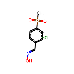 CS(=O)(=O)c1ccc(C=NO)cc1.Cl